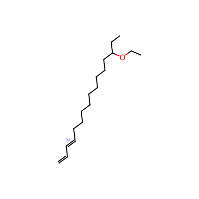 C=C/C=C/CCCCCCCCCC(CC)OCC